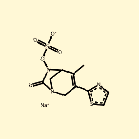 CC1=C(c2nccs2)CN2CC1N(OS(=O)(=O)[O-])C2=O.[Na+]